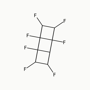 FC12C3C4(F)C1(F)C1(F)C2(F)C3(F)C41F